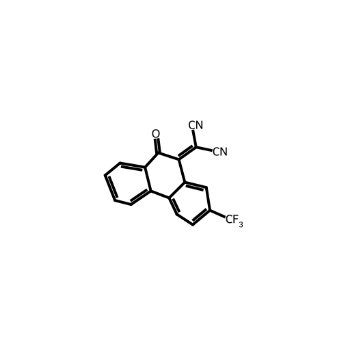 N#CC(C#N)=C1C(=O)c2ccccc2-c2ccc(C(F)(F)F)cc21